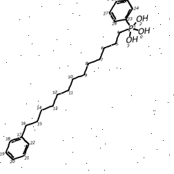 OP(O)(O)(CCCCCCCCCCCCCc1ccccc1)c1ccccc1